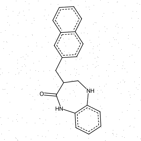 O=C1Nc2ccccc2NCC1Cc1ccc2ccccc2c1